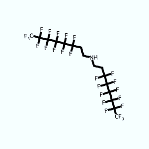 FC(F)(F)C(F)(F)C(F)(F)C(F)(F)C(F)(F)C(F)(F)CCNCCC(F)(F)C(F)(F)C(F)(F)C(F)(F)C(F)(F)C(F)(F)F